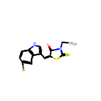 O=C(O)CN1C(=O)/C(=C\c2c[nH]c3ccc(Br)cc23)SC1=S